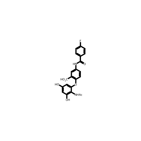 CC(=O)Nc1c(O)cc(O)cc1Oc1ccc(NC(=O)c2ccc(F)cc2)cc1C(=O)O